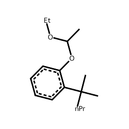 CCCC(C)(C)c1ccccc1OC(C)OCC